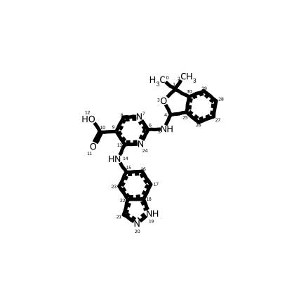 CC1(C)OC(Nc2ncc(C(=O)O)c(Nc3ccc4[nH]ncc4c3)n2)c2ccccc21